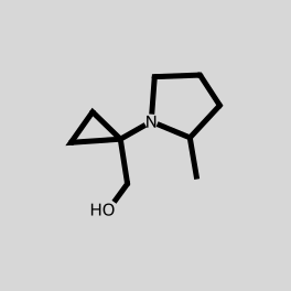 CC1CCCN1C1(CO)CC1